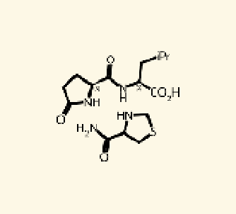 CC(C)C[C@H](NC(=O)[C@@H]1CCC(=O)N1)C(=O)O.NC(=O)C1CSCN1